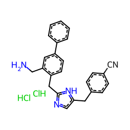 Cl.Cl.N#Cc1ccc(Cc2cnc(Cc3ccc(-c4ccccc4)cc3CN)[nH]2)cc1